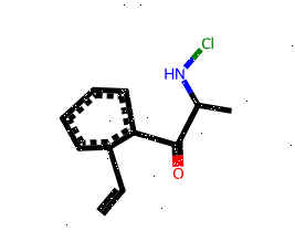 C=Cc1ccccc1C(=O)C(C)NCl